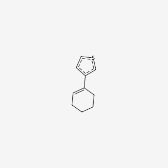 C1=C(c2ccsc2)CCCC1